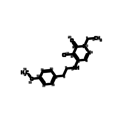 CCn1ncc(NCCc2ccc(OC)cc2)c(Cl)c1=O